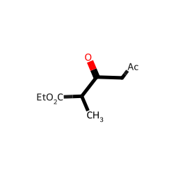 CCOC(=O)C(C)C(=O)CC(C)=O